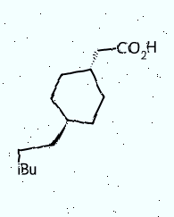 CCC(C)CC[C@H]1CC[C@H](CC(=O)O)CC1